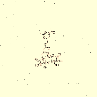 CC(=O)OCC(COC(=O)COC[C@H]1O[C@@H](O[C@H]2[C@H](O)[C@@H](O)[C@@H](O)O[C@@H]2CO)[C@H](O)[C@@H](O)[C@H]1O)OC(C)=O